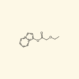 CCOCC(=O)Oc1ccn2ccccc12